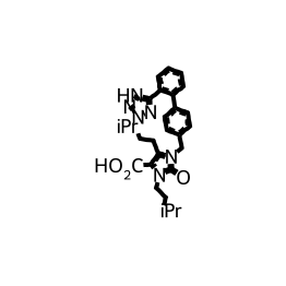 CC(C)CCc1c(C(=O)O)n(CCC(C)C)c(=O)n1Cc1ccc(-c2ccccc2-c2nnn[nH]2)cc1